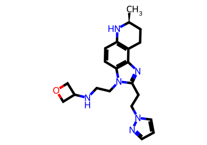 C[C@H]1CCc2c(ccc3c2nc(CCn2cccn2)n3CCNC2COC2)N1